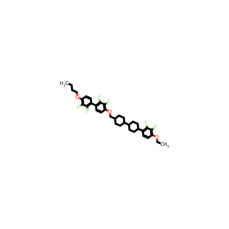 CCCCOc1ccc(-c2ccc(OCC3CCC(C4CCC(c5ccc(OCC)c(F)c5F)CC4)CC3)c(F)c2F)c(F)c1F